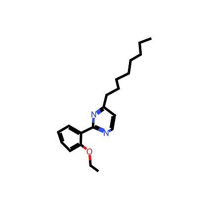 CCCCCCCCc1ccnc(-c2ccccc2OCC)n1